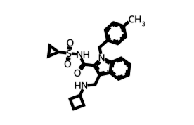 Cc1ccc(Cn2c(C(=O)NS(=O)(=O)C3CC3)c(CNC3CCC3)c3ccccc32)cc1